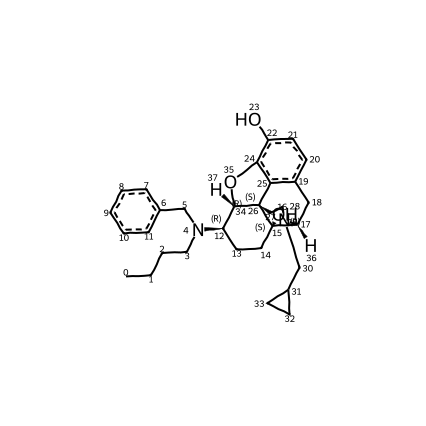 CCCCN(Cc1ccccc1)[C@@H]1CC[C@@]2(O)[C@H]3Cc4ccc(O)c5c4[C@@]2(CCN3CC2CC2)[C@H]1O5